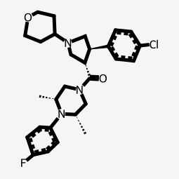 C[C@@H]1CN(C(=O)[C@@H]2CN(C3CCOCC3)C[C@H]2c2ccc(Cl)cc2)C[C@H](C)N1c1ccc(F)cc1